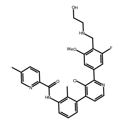 [CH2]c1ccc(C(=O)Nc2cccc(-c3ccnc(-c4cc(F)c(CNCCO)c(OC)c4)c3Cl)c2C)nc1